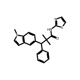 Cn1ccc2cc(C(c3ccccc3)C(C)(C)C(=O)Nc3nccs3)ccc21